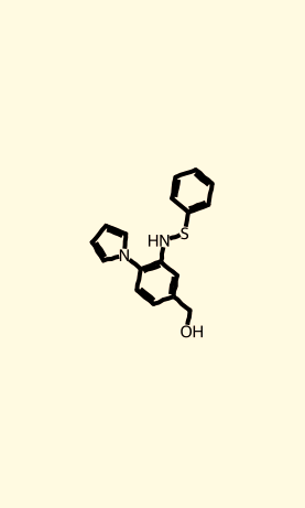 OCc1ccc(-n2cccc2)c(NSc2ccccc2)c1